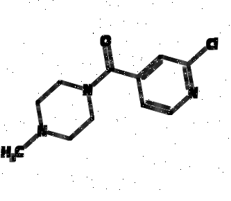 CN1CCN(C(=O)c2ccnc(Cl)c2)CC1